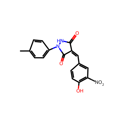 Cc1ccc(N2NC(=O)/C(=C/c3ccc(O)c([N+](=O)[O-])c3)C2=O)cc1